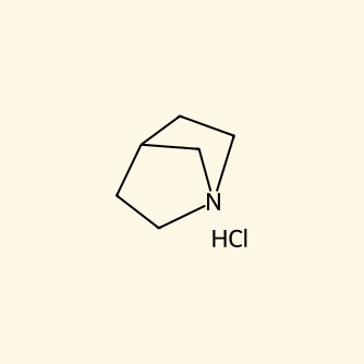 C1CN2CCC1C2.Cl